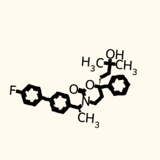 C[C@@H](c1ccc(-c2ccc(F)cc2)cc1)N1CC[C@](CCC(C)(C)O)(c2ccccc2)OC1=O